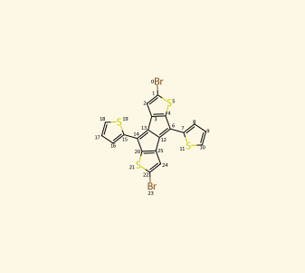 Brc1cc2c(s1)C(c1cccs1)=C1C2=C(c2cccs2)c2sc(Br)cc21